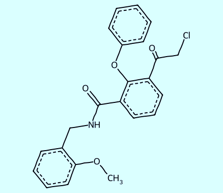 COc1ccccc1CNC(=O)c1cccc(C(=O)CCl)c1Oc1ccccc1